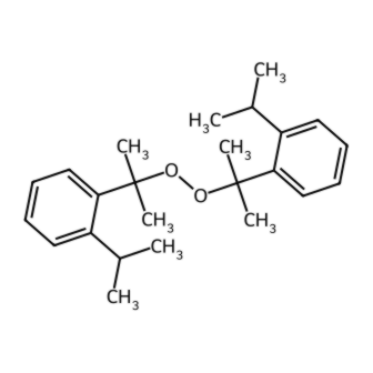 CC(C)c1ccccc1C(C)(C)OOC(C)(C)c1ccccc1C(C)C